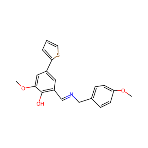 COc1ccc(CN=Cc2cc(-c3cccs3)cc(OC)c2O)cc1